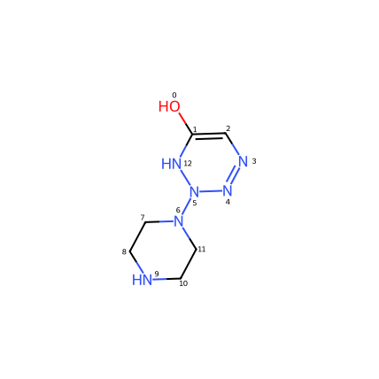 OC1=CN=NN(N2CCNCC2)N1